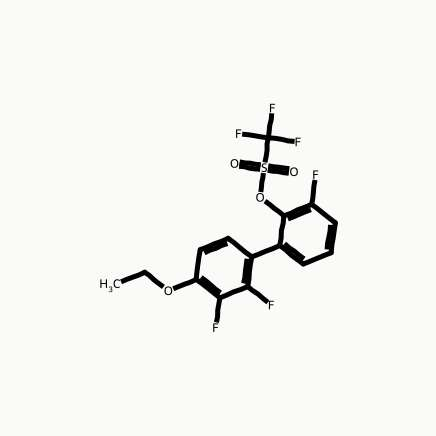 CCOc1ccc(-c2cccc(F)c2OS(=O)(=O)C(F)(F)F)c(F)c1F